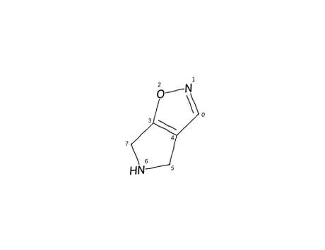 c1noc2c1CNC2